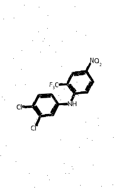 O=[N+]([O-])c1ccc(Nc2ccc(Cl)c(Cl)c2)c(C(F)(F)F)c1